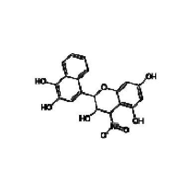 O=[N+]([O-])C1c2c(O)cc(O)cc2OC(c2cc(O)c(O)c3ccccc23)C1O